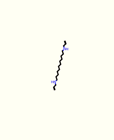 C=CCNCCCCCCCCCCCCNCC=C